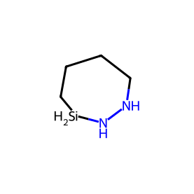 C1CC[SiH2]NNC1